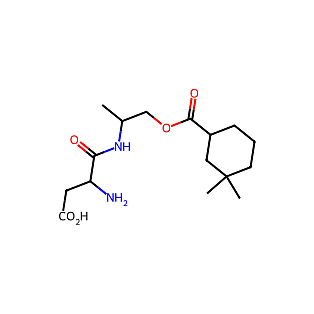 CC(COC(=O)C1CCCC(C)(C)C1)NC(=O)C(N)CC(=O)O